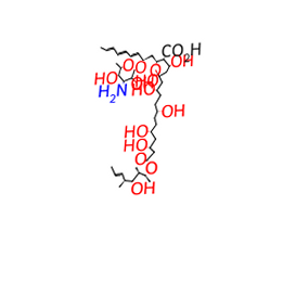 C/C=C/C=C/C=C/[C@@H](C[C@@H]1O[C@](O)(C[C@@H](O)CC[C@H](O)CC[C@@H](O)C[C@@H](O)CC(=O)O[C@@H](C)[C@H](C)[C@H](O)[C@@H](C)/C=C/C)C[C@H](O)[C@H]1C(=O)O)OC1OC(C)C(O)C(N)C1O